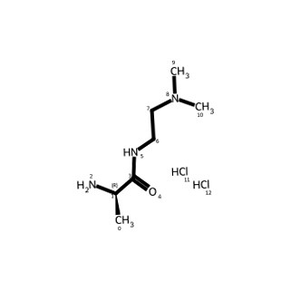 C[C@@H](N)C(=O)NCCN(C)C.Cl.Cl